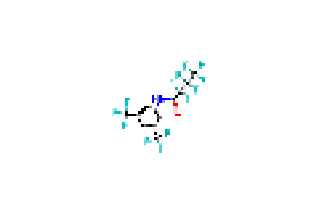 O=C(Nc1cc(C(F)(F)F)cc(C(F)(F)F)c1)C(F)(F)C(F)(F)C(F)(F)F